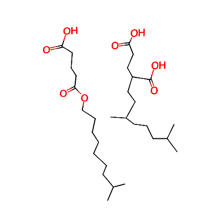 CC(C)CCCC(C)CCC(CCC(=O)O)C(=O)O.CC(C)CCCCCCCOC(=O)CCCC(=O)O